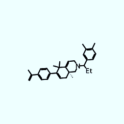 C=C(C)c1ccc(C2=CC[C@]3(C)CN(C(CC)c4ccc(C)c(C)c4)CC=C3C2(C)C)cc1